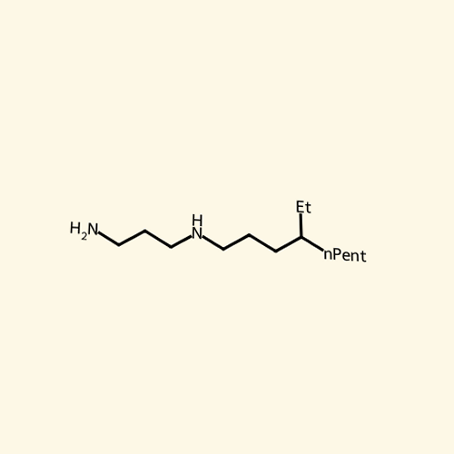 CCCCCC(CC)CCCNCCCN